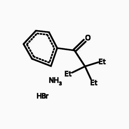 Br.CCC(CC)(CC)C(=O)c1ccccc1.N